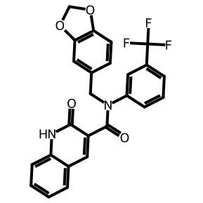 O=C(c1cc2ccccc2[nH]c1=O)N(Cc1ccc2c(c1)OCO2)c1cccc(C(F)(F)F)c1